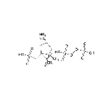 CC1(C)C2CCC1(CS(=O)(=O)O)C(=O)C2.N.N.O=S(=O)(O)OOS(=O)(=O)O